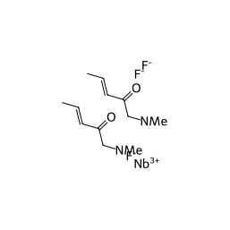 CC=CC(=O)CNC.CC=CC(=O)CNC.[F-].[F-].[F-].[Nb+3]